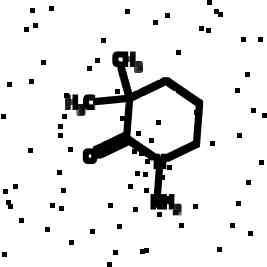 CC1(C)CCCN(N)C1=O